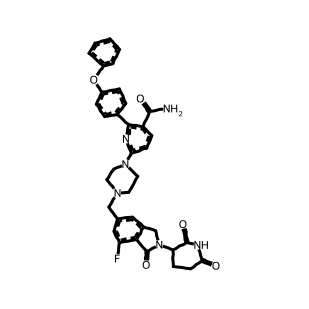 NC(=O)c1ccc(N2CCN(Cc3cc(F)c4c(c3)CN(C3CCC(=O)NC3=O)C4=O)CC2)nc1-c1ccc(Oc2ccccc2)cc1